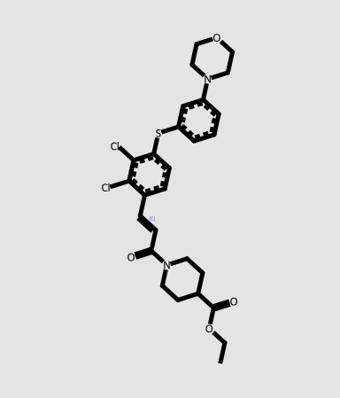 CCOC(=O)C1CCN(C(=O)/C=C/c2ccc(Sc3cccc(N4CCOCC4)c3)c(Cl)c2Cl)CC1